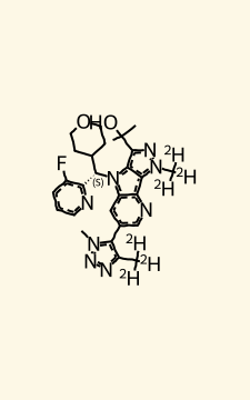 [2H]C([2H])([2H])c1nnn(C)c1-c1cnc2c3c(c(C(C)(C)O)nn3C([2H])([2H])[2H])n([C@H](c3ncccc3F)C3CCOCC3)c2c1